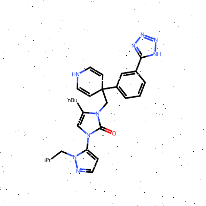 CCCCc1cn(-c2ccnn2CC(C)C)c(=O)n1CC1(c2cccc(-c3nnn[nH]3)c2)C=CNC=C1